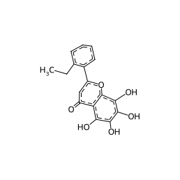 CCc1ccccc1-c1cc(=O)c2c(O)c(O)c(O)c(O)c2o1